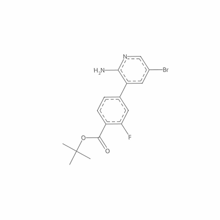 CC(C)(C)OC(=O)c1ccc(-c2cc(Br)cnc2N)cc1F